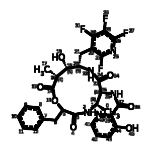 C[C@H]1NC(=O)C(Cc2ccccc2)OC(=O)[C@H](C)[C@H](O)[C@H](Cc2c(F)nc(F)c(F)c2F)NC(=O)[C@H]1NC(=O)c1ncccc1O